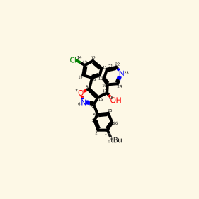 CC(C)(C)c1ccc(-c2noc(-c3cccc(Cl)c3)c2C(O)c2cccnc2)cc1